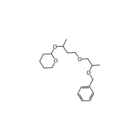 CC(COCCC(C)OC1CCCCO1)OCc1ccccc1